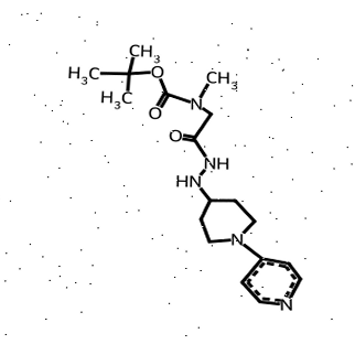 CN(CC(=O)NNC1CCN(c2ccncc2)CC1)C(=O)OC(C)(C)C